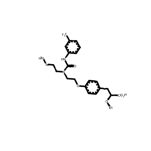 CCCCSCCN(CCOc1ccc(CC(OCC)C(=O)O)cc1)C(=O)Nc1cccc(C(F)(F)F)c1